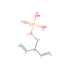 C=CC(C=C)COP(=O)(O)O